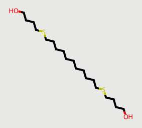 OCCCCSCCCCCCCCCCCSCCCCO